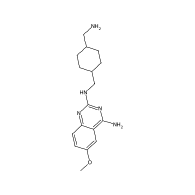 COc1ccc2nc(NCC3CCC(CN)CC3)nc(N)c2c1